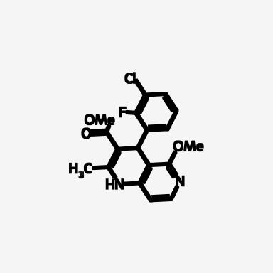 COC(=O)C1=C(C)Nc2ccnc(OC)c2C1c1cccc(Cl)c1F